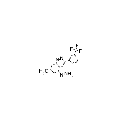 CC1C/C(=N/N)c2cc(-c3cccc(C(F)(F)F)c3)nnc2C1